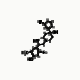 Cc1cc(C(O)CN2CCC(O)(c3cccc(F)c3)CC2)c(F)cc1O